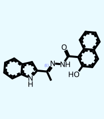 C/C(=N\NC(=O)c1c(O)ccc2ccccc12)c1cc2ccccc2[nH]1